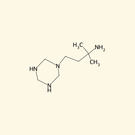 CC(C)(N)CCN1CNCNC1